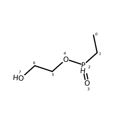 CC[PH](=O)OCCO